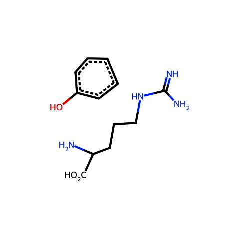 N=C(N)NCCCC(N)C(=O)O.Oc1ccccc1